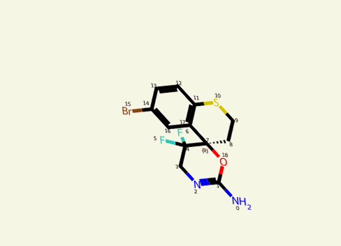 NC1=NCC(F)(F)[C@]2(CCSc3ccc(Br)cc32)O1